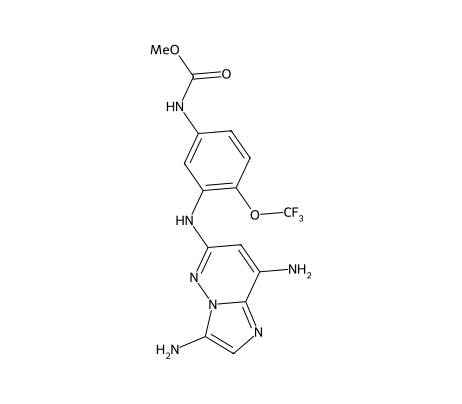 COC(=O)Nc1ccc(OC(F)(F)F)c(Nc2cc(N)c3ncc(N)n3n2)c1